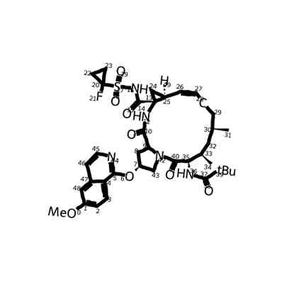 COc1ccc2c(O[C@@H]3CC4C(=O)N[C@]5(C(=O)NS(=O)(=O)C6(F)CC6)C[C@H]5/C=C\CC[C@@H](C)C[C@@H](C)[C@H](NC(=O)C(C)(C)C)C(=O)N4C3)nccc2c1